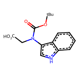 CC(C)(C)OC(=O)N(CC(=O)O)c1c[nH]c2ccccc12